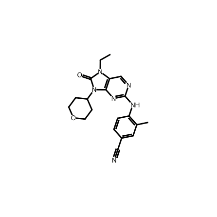 CCn1c(=O)n(C2CCOCC2)c2nc(Nc3ccc(C#N)cc3C)ncc21